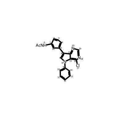 CC(=O)Nc1cccc(-c2cn(-c3ccccc3)c3c(Cl)ncnc23)c1